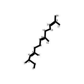 CCC(C)/C=C(\C)CC/C=C(\C)CCC=C(C)C